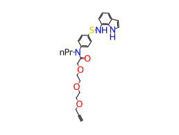 C#CCOCCOCCOCC(=O)N(CCC)c1ccc(SNc2cccc3cc[nH]c23)cc1